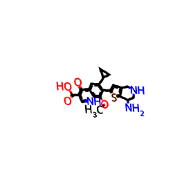 COc1c(-c2cc3c(s2)C(N)CNC3)c(C2CC2)cc2c(=O)c(C(=O)O)c[nH]c12